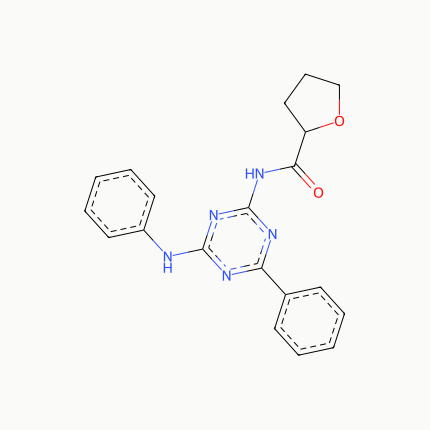 O=C(Nc1nc(Nc2ccccc2)nc(-c2ccccc2)n1)C1CCCO1